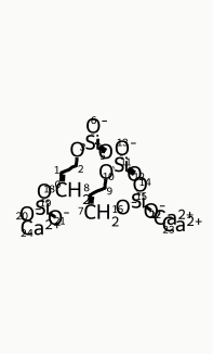 C=CCO[Si](=O)[O-].C=CCO[Si](=O)[O-].O=[Si]([O-])[O-].O=[Si]([O-])[O-].[Ca+2].[Ca+2].[Ca+2]